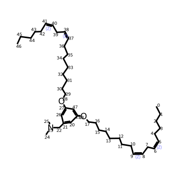 CCCCC/C=C\C/C=C\CCCCCCCCOc1cc(CN(C)C)cc(OCCCCCCCC/C=C\C/C=C\CCCCC)c1